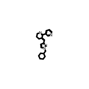 C(=C1CCCN=C1c1cccnc1)c1ccn(CC2CCCCC2)n1